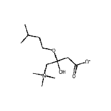 CC(C)CCOC(O)(CC(=O)[O-])C[N+](C)(C)C